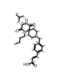 CCCCN1C(=O)[C@H](CC(C)C)NC(=O)C12CCN(Cc1ccc(C=CC(=O)O)cc1)CC2